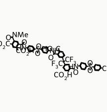 CNC(=O)c1cc(C(=O)Nc2ccc(S(=O)(=O)c3ccc(NC(=O)c4cc(C(c5ccc(C(=O)O)c(C(=O)Nc6ccc(S(=O)(=O)c7ccc(C)cc7)cc6)c5)(C(F)(F)F)C(F)(F)F)ccc4C(=O)O)cc3)cc2)c(C(=O)O)cc1C(=O)O